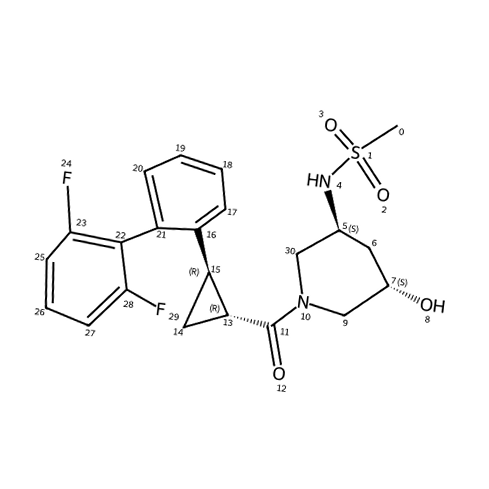 CS(=O)(=O)N[C@H]1C[C@H](O)CN(C(=O)[C@@H]2C[C@H]2c2ccccc2-c2c(F)cccc2F)C1